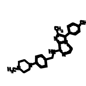 Cc1nc2c(NCc3ccc(N4CCN(C)CC4)cc3)nccn2c1-c1ccc(O)cc1